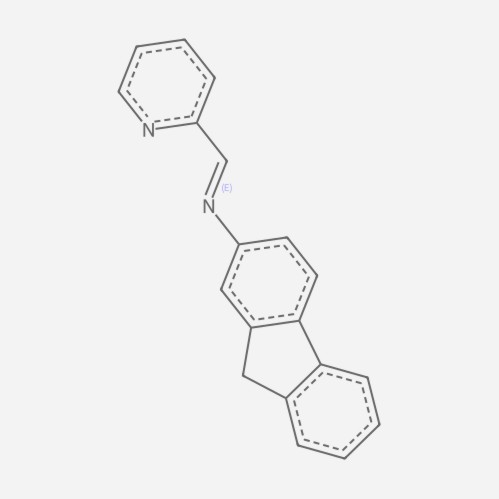 C(=N\c1ccc2c(c1)Cc1ccccc1-2)/c1ccccn1